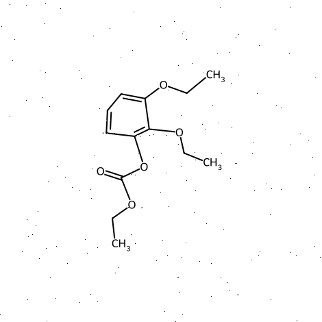 CCOC(=O)Oc1[c]ccc(OCC)c1OCC